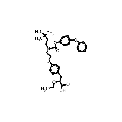 CCOC(Cc1ccc(OCCN(CCC(C)(C)C)C(=O)Oc2ccc(Oc3ccccc3)cc2)cc1)C(=O)O